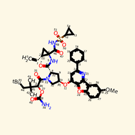 C=C[C@@H]1C[C@]1(NC(=O)[C@@H]1C[C@@H](Oc2cc(-c3ccccc3)nc3c2oc2ccc(OC)cc23)CN1C(=O)[C@@H](OC(N)=O)C(C)(C)CC(C)(C)C)C(=O)NS(=O)(=O)C1CC1